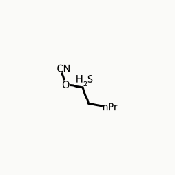 CCCCCOC#N.S